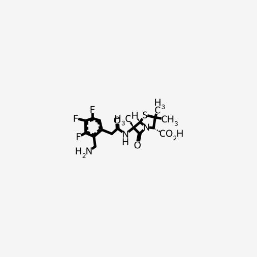 CC1(C)S[C@H]2N(C(=O)[C@]2(C)NC(=O)Cc2cc(F)c(F)c(F)c2CN)[C@H]1C(=O)O